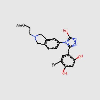 COCCN1Cc2ccc(-n3c(O)nnc3-c3cc(C(C)C)c(O)cc3O)cc2C1